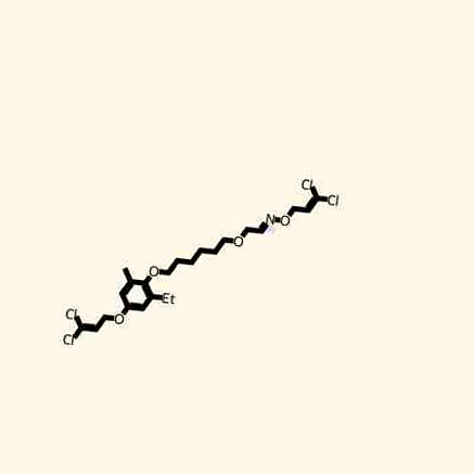 CCc1cc(OCC=C(Cl)Cl)cc(C)c1OCCCCCCOC/C=N/OCC=C(Cl)Cl